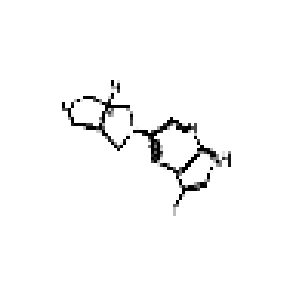 Ic1c[nH]c2ncc(N3CC4COC[C@@H]4C3)cc12